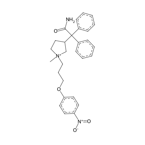 C[N+]1(CCCOc2ccc([N+](=O)[O-])cc2)CCC(C(C(N)=O)(c2ccccc2)c2ccccc2)C1